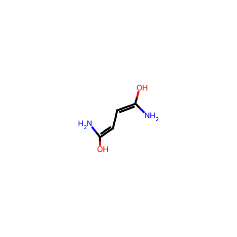 N/C(O)=C\C=C(/N)O